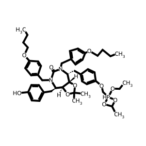 CCCCOc1ccc(CN2C(=O)N(Cc3ccc(OCCCC)cc3)[C@H](Cc3ccc(OC[PH]4(OCC)OC(C)O4)cc3)[C@@H]3OC(C)(C)O[C@H]3[C@H]2Cc2ccc(O)cc2)cc1